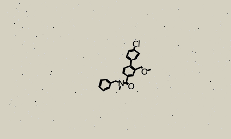 COCc1cc(C(=O)N(C)Cc2ccccc2)ccc1-c1ccc(Cl)cc1